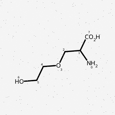 NC(COCCO)C(=O)O